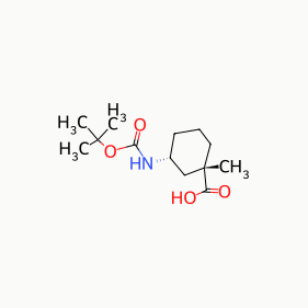 CC(C)(C)OC(=O)N[C@@H]1CCC[C@](C)(C(=O)O)C1